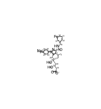 CC(C)c1c(C(=O)NCc2cccc(F)c2)nn(-c2ccc(F)cc2)c1CC[C@@H](O)C[C@@H](O)CC(=O)[O-].[Na+]